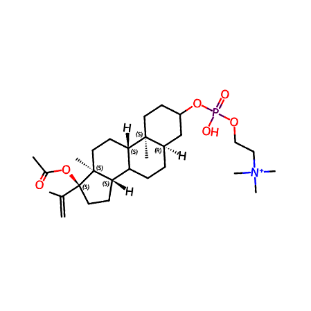 C=C(C)[C@@]1(OC(C)=O)CC[C@H]2C3CC[C@@H]4CC(OP(=O)(O)OCC[N+](C)(C)C)CC[C@]4(C)[C@H]3CC[C@@]21C